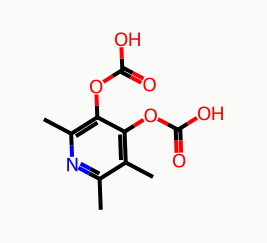 Cc1nc(C)c(OC(=O)O)c(OC(=O)O)c1C